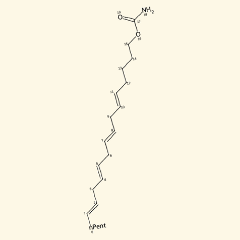 CCCCCC=CCC=CCC=CCC=CCCCCOC(N)=O